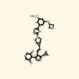 O=C(O)c1cc(OC2COC2)cc(-c2nc(N3CC4C(/C=C/c5c(-c6c(Cl)cncc6Cl)noc5C5CC5)C4C3)no2)c1